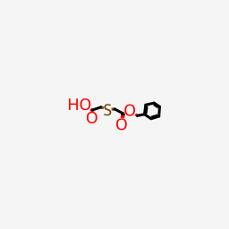 O=C(O)CSCC(=O)OCc1ccccc1